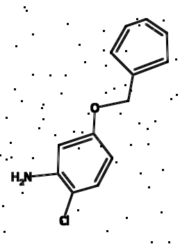 Nc1cc(OCc2ccccc2)ccc1Cl